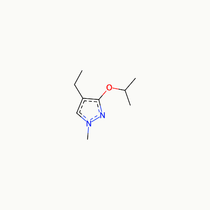 CCc1cn(C)nc1OC(C)C